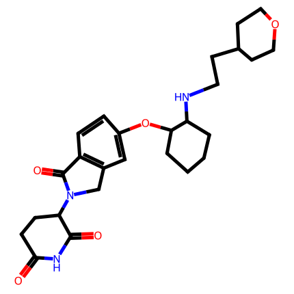 O=C1CCC(N2Cc3cc(OC4CCCCC4NCCC4CCOCC4)ccc3C2=O)C(=O)N1